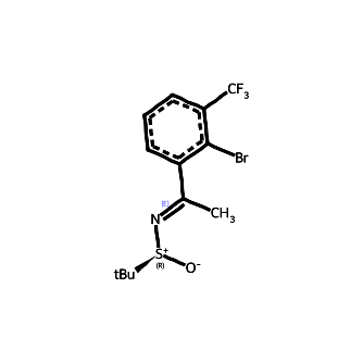 C/C(=N\[S@@+]([O-])C(C)(C)C)c1cccc(C(F)(F)F)c1Br